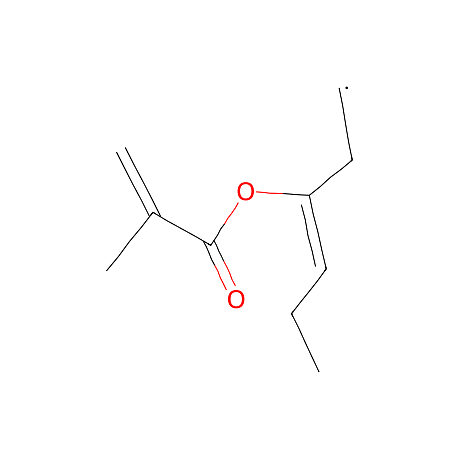 [CH2]CC(=CCC)OC(=O)C(=C)C